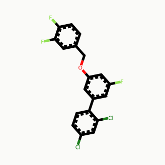 Fc1[c]c(-c2ccc(Cl)cc2Cl)cc(OCc2ccc(F)c(F)c2)c1